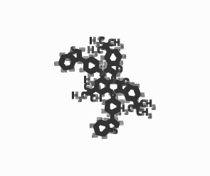 CC(C)(C)c1cc2c3c(c1)N(c1ccc(-c4csc5ccccc45)cc1)c1c(oc4ccc(C(C)(C)C)cc14)B3c1oc3ccc(C(C)(C)C)cc3c1N2c1ccc(-c2csc3c2CCC=C3)cc1